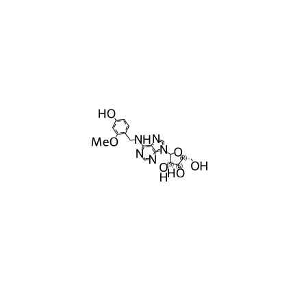 COc1cc(O)ccc1CNc1ncnc2c1ncn2C1O[C@H](CO)[C@@H](O)[C@@H]1O